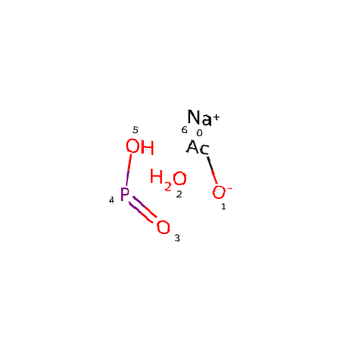 CC(=O)[O-].O.O=PO.[Na+]